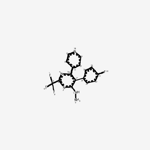 NNc1nc(C(F)(F)F)nc(-c2ccncc2)c1-c1ccc(F)cc1